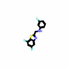 Fc1cccc(NCc2nc3cc(F)cc(F)c3s2)c1